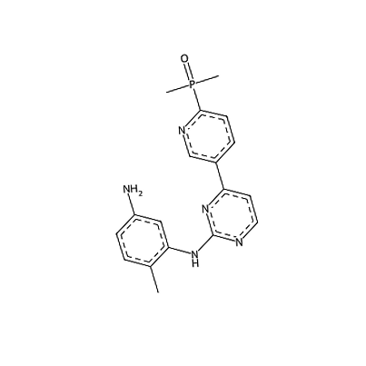 Cc1ccc(N)cc1Nc1nccc(-c2ccc(P(C)(C)=O)nc2)n1